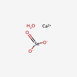 O.O=[Se]([O-])[O-].[Ca+2]